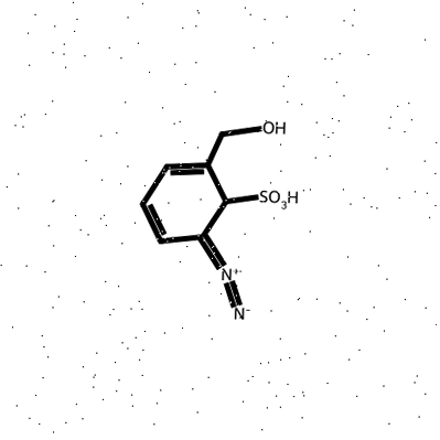 [N-]=[N+]=C1C=CC=C(CO)C1S(=O)(=O)O